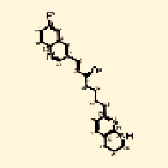 O=C(/C=C/C1=CC2C=C(F)C=CC2N=C1)CCCCc1ccc2c(n1)NCCC2